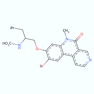 CC(C)CC(COc1cc2c(cc1Br)c1ccncc1c(=O)n2C)NC(=O)O